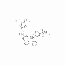 CCC(C)OC(=O)CCNc1nc(NCc2ccc(S(N)(=O)=O)cc2)c2c(-c3ccccc3)csc2n1